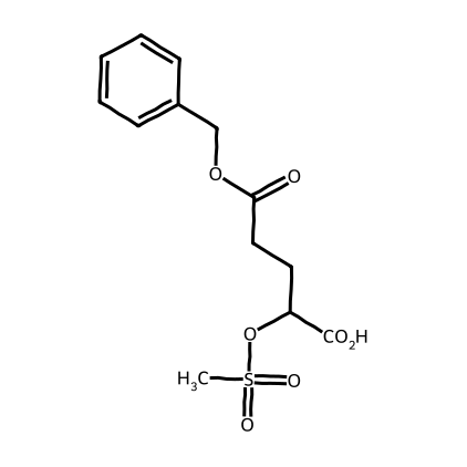 CS(=O)(=O)OC(CCC(=O)OCc1ccccc1)C(=O)O